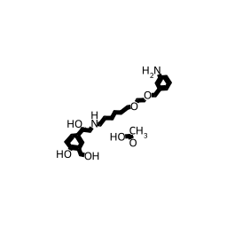 CC(=O)O.Nc1cccc(COCCOCCCCCCNC[C@H](O)c2ccc(O)c(CO)c2)c1